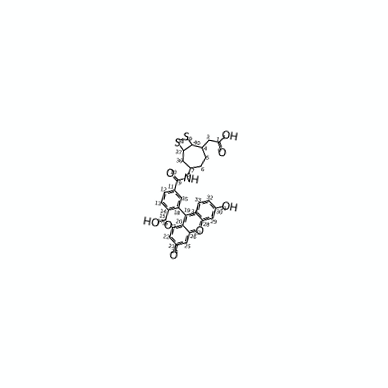 O=C(O)CC1CCC(NC(=O)c2ccc(C(=O)O)c(-c3c4ccc(=O)cc-4oc4cc(O)ccc34)c2)CC2SSC12